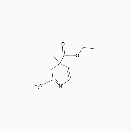 CCOC(=O)C1(C)C=CN=C(N)C1